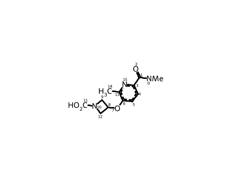 CNC(=O)c1ccc(OC2CN(C(=O)O)C2)c(C)n1